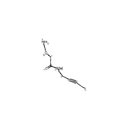 CC#CCNC(=O)CON